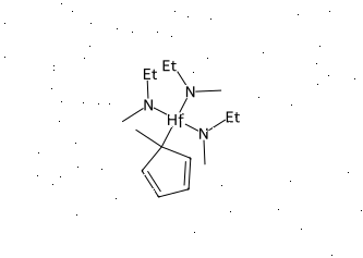 CC[N](C)[Hf]([N](C)CC)([N](C)CC)[C]1(C)C=CC=C1